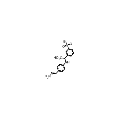 CCS(=O)(=O)c1cccc(C(Nc2ccc(C=NN)cc2)C(=O)O)c1